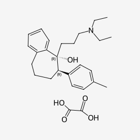 CCN(CC)CCC[C@]1(O)c2ccccc2CCC[C@@H]1c1ccc(C)cc1.O=C(O)C(=O)O